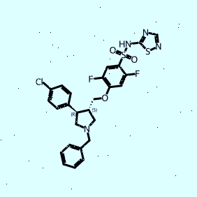 O=S(=O)(Nc1ncns1)c1cc(F)c(OC[C@@H]2CN(Cc3ccccc3)C[C@H]2c2ccc(Cl)cc2)cc1F